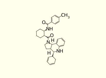 Cc1ccc(C(=O)N[C@@H]2CCCC[C@@H]2C(=O)N2CC[C@@H]3[C@H](C4C=CC=CC4)Nc4ccccc4[C@@H]32)cc1